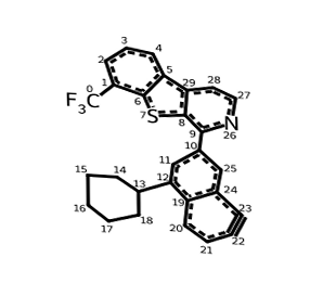 FC(F)(F)c1cccc2c1sc1c(-c3cc(C4CCCCC4)c4ccc#cc4c3)nccc12